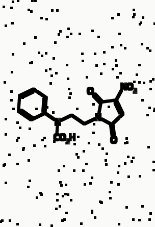 O=C1C=C([N+](=O)[O-])C(=O)N1CCN(C(=O)O)c1ccccc1